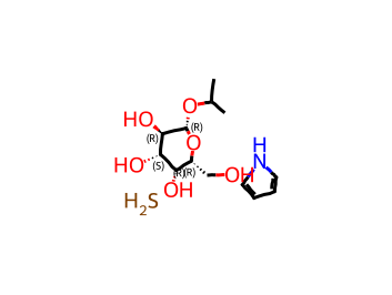 CC(C)O[C@@H]1O[C@H](CO)[C@H](O)[C@H](O)[C@H]1O.S.c1cc[nH]c1